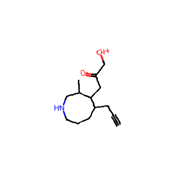 C#CCC1CCCNCC(C)C1CC(=O)CO